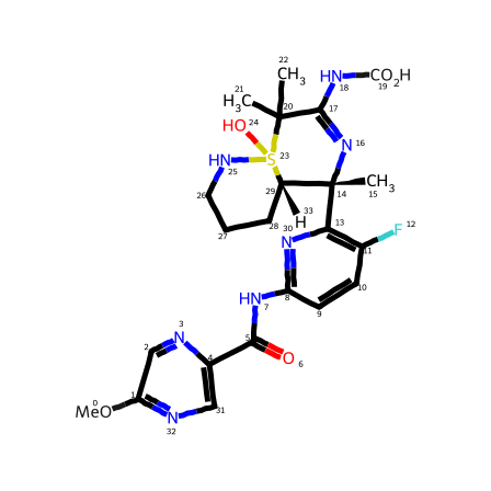 COc1cnc(C(=O)Nc2ccc(F)c([C@@]3(C)N=C(NC(=O)O)C(C)(C)S4(O)NCCC[C@@H]34)n2)cn1